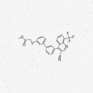 COC(=O)CSc1cccc(-c2cccc(-c3c(C#N)cnc4c(C(F)(F)F)cccc34)c2)c1